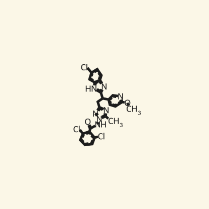 COc1ccc(C(Cc2nc(C)n(NC(=O)c3c(Cl)cccc3Cl)n2)c2nc3ccc(Cl)cc3[nH]2)cn1